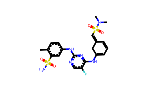 Cc1ccc(Nc2ncc(F)c(NC3=CC=CC(=CS(=O)(=O)N(C)C)C3)n2)cc1S(N)(=O)=O